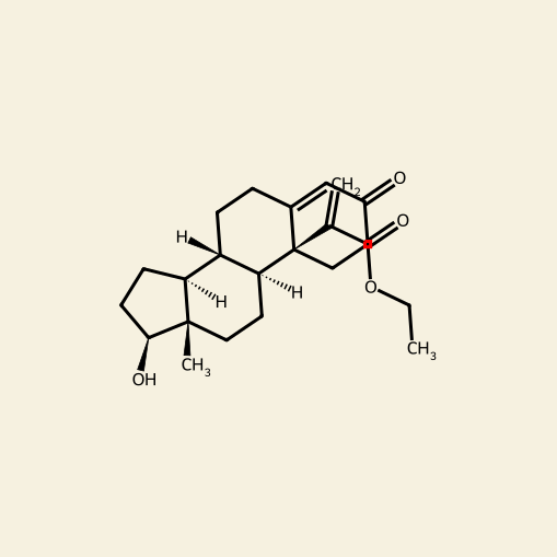 C=C(C(=O)OCC)[C@]12CCC(=O)C=C1CC[C@@H]1[C@@H]2CC[C@]2(C)[C@@H](O)CC[C@@H]12